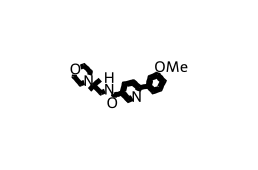 COc1cccc(-c2ccc(C(=O)NCC(C)(C)N3CCOCC3)cn2)c1